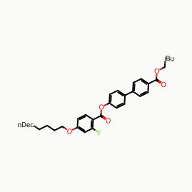 CCCCCCCCCCCCCCOc1ccc(C(=O)Oc2ccc(-c3ccc(C(=O)OCC(C)CC)cc3)cc2)c(F)c1